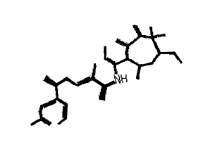 C=C(C)/C=C(\C=C/C)C(=C)C/C=C(\C)C(=C)N/C(=C/C)C1C(C)CC(CC)C(C)(C)C(=C)C1C